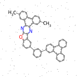 Cc1ccc2c3ccc(C)cc3c3nc4c(nc3c2c1)oc1ccc(-c2cccc(-c3ccc5c6ccccc6c6ccccc6c5c3)c2)cc14